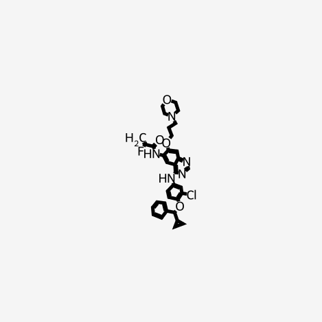 C=C(F)C(=O)Nc1cc2c(Nc3ccc(OC(c4ccccc4)C4CC4)c(Cl)c3)ncnc2cc1OCCCN1CCOCC1